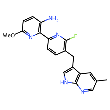 COc1ccc(N)c(-c2ccc(Cc3c[nH]c4ncc(C)cc34)c(F)n2)n1